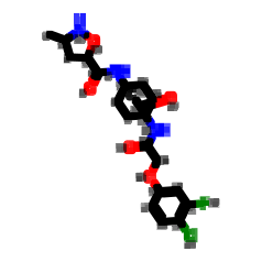 CC1CC(C(=O)NC23CCC(NC(=O)COc4ccc(Cl)c(F)c4)(CC2)C(=O)C3)ON1